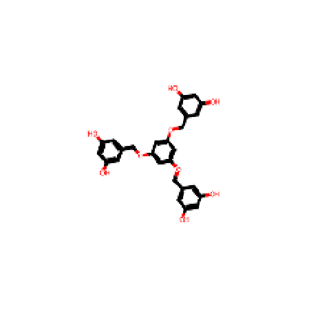 Oc1cc(O)cc(COc2cc(OCc3cc(O)cc(O)c3)cc(OCc3cc(O)cc(O)c3)c2)c1